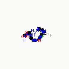 Cc1nc2ccc(-c3ccnc(N)c3)nc2n1-c1ccc(N2CCN(C(=O)CCN3CCN(Cc4ccc(CNc5cccc6c5CN(C5CCC(=O)NC5=O)C6=O)cc4)CC3)CC2)c(F)c1